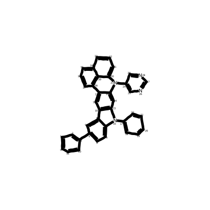 c1ccc(-c2ccc3c(c2)c2cc4c(cc2n3-c2ccccc2)N(c2cncnc2)c2cccc3cccc-4c23)cc1